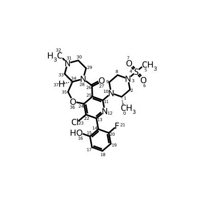 C[C@H]1CN(S(C)(=O)=O)CCN1c1nc(-c2c(O)cccc2F)c(Cl)c2c1C(=O)N1CCN(C)C[C@@H]1CO2